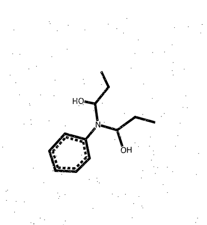 CCC(O)N(c1cc[c]cc1)C(O)CC